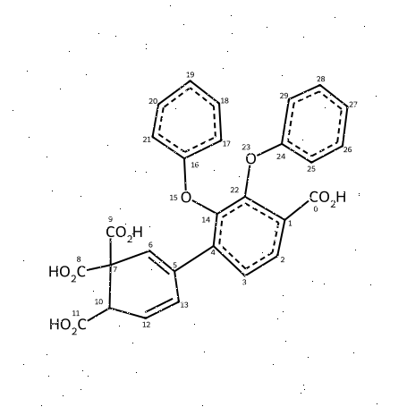 O=C(O)c1ccc(C2=CC(C(=O)O)(C(=O)O)C(C(=O)O)C=C2)c(Oc2ccccc2)c1Oc1ccccc1